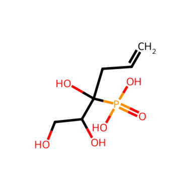 C=CCC(O)(C(O)CO)P(=O)(O)O